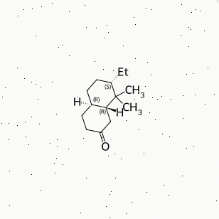 CC[C@H]1CC[C@@H]2CCC(=O)C[C@H]2C1(C)C